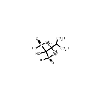 CC(C)(C(C(=O)O)C(=O)O)C(O)(P(=O)(O)O)P(=O)(O)O